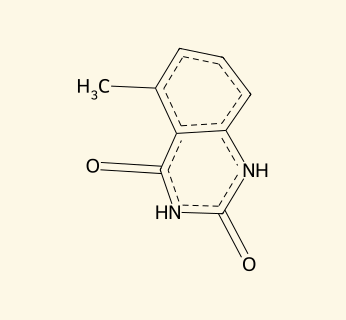 Cc1cccc2[nH]c(=O)[nH]c(=O)c12